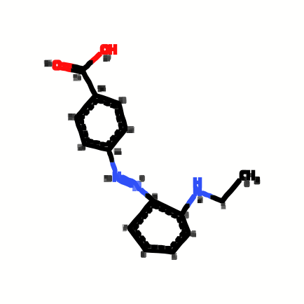 CCNc1ccccc1/N=N/c1ccc(C(=O)O)cc1